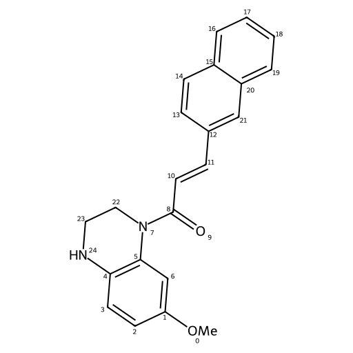 COc1ccc2c(c1)N(C(=O)C=Cc1ccc3ccccc3c1)CCN2